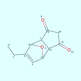 CCC1=CC2OC1C1C(=O)CC(=O)C21